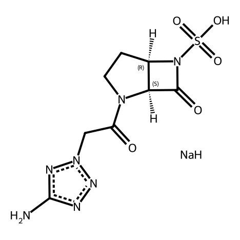 Nc1nnn(CC(=O)N2CC[C@@H]3[C@H]2C(=O)N3S(=O)(=O)O)n1.[NaH]